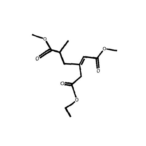 CCOC(=O)C/C(=C\C(=O)OC)CC(C)C(=O)OC